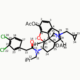 CC(=O)Oc1ccc2c3c1O[C@H]1[C@H](N(CC(C)C)C(=O)Cc4ccc(Cl)c(Cl)c4)CC[C@@]4(OC(C)=O)[C@@H](C2)N(CC2CC2)CC[C@]314